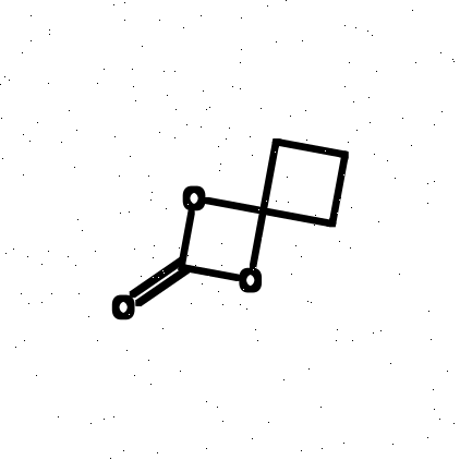 O=C1OC2(CCC2)O1